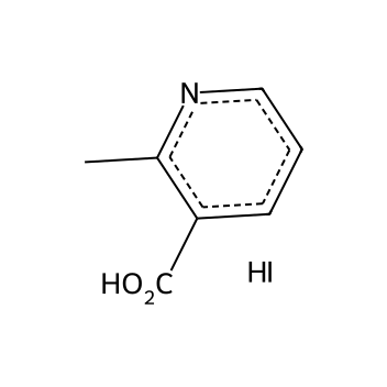 Cc1ncccc1C(=O)O.I